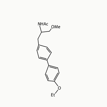 CCOc1ccc(-c2ccc(CC(COC)NC(C)=O)cc2)cc1